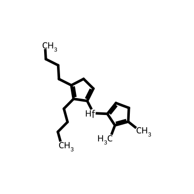 CCCCC1=C(CCCC)[C]([Hf][C]2=CCC(C)=C2C)=CC1